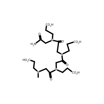 CN(CCC(=O)O)CC(=O)N(CCC(=O)O)CC(=O)N(CCC(=O)O)CC(=O)N(CCC(=O)O)CC(N)=O